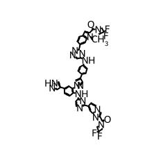 Cn1c(C(=O)N2CC(F)(F)C2)cc2ccc(-c3nncc(Nc4ccc(-c5cnn(-c6cc(-c7cn[nH]c7)ccc6Nc6ccnc(-c7ccn8cc(C(=O)N9CC(F)(F)C9)nc8c7)n6)c5)cc4)n3)cc21